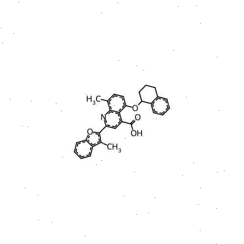 Cc1c(-c2cc(C(=O)O)c3c(OC4CCCc5ccccc54)ccc(C)c3n2)oc2ccccc12